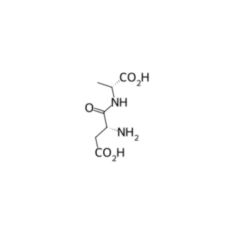 C[C@@H](NC(=O)[C@H](N)CC(=O)O)C(=O)O